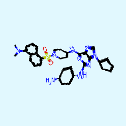 CN(C)c1cccc2c(S(=O)(=O)N3CCC(Nc4nc(N[C@H]5CC[C@H](N)CC5)nc5c4ncn5C4CCCC4)CC3)cccc12